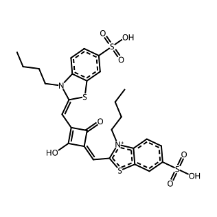 CCCCN1/C(=C/C2=C(O)C(=C/c3sc4cc(S(=O)(=O)O)ccc4[n+]3CCCC)/C2=O)Sc2cc(S(=O)(=O)O)ccc21